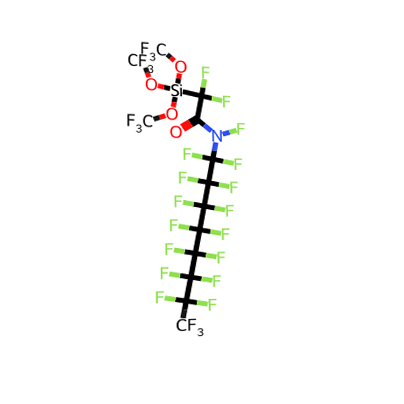 O=C(N(F)C(F)(F)C(F)(F)C(F)(F)C(F)(F)C(F)(F)C(F)(F)C(F)(F)C(F)(F)F)C(F)(F)[Si](OC(F)(F)F)(OC(F)(F)F)OC(F)(F)F